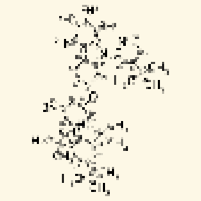 [2H]c1c([2H])c([2H])c2c(c1[2H])c1ccc(Oc3cc(Br)cc(-c4c(C(C)(C)C)cc(C(C)(C)C)cc4C(C)(C)C)c3)cc1n2-c1cc(C(C)(C)C)ccn1